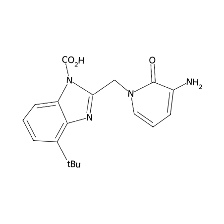 CC(C)(C)c1cccc2c1nc(Cn1cccc(N)c1=O)n2C(=O)O